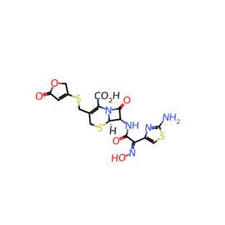 Nc1nc(/C(=N/O)C(=O)N[C@@H]2C(=O)N3C(C(=O)O)=C(CSC4=CC(=O)OC4)CS[C@H]23)cs1